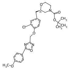 COc1ccc(-c2nc(COc3ccc(C[C@@H]4CN(C(=O)OC(C)(C)C)CCO4)cc3Cl)no2)cc1